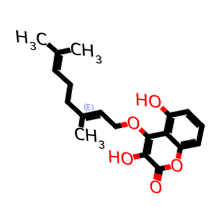 CC(C)=CCC/C(C)=C/COc1c(O)c(=O)oc2cccc(O)c12